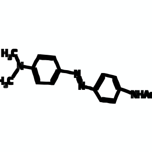 CC(=O)Nc1ccc(N=Nc2ccc(N(C)C)cc2)cc1